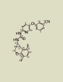 N#Cc1cccc(Oc2ccc(NC(=O)NC3C4COc5c(F)ccc(F)c5C43)nc2)c1